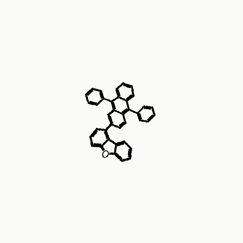 c1ccc(-c2c3ccccc3c(-c3ccccc3)c3cc(-c4cccc5oc6ccccc6c45)ccc23)cc1